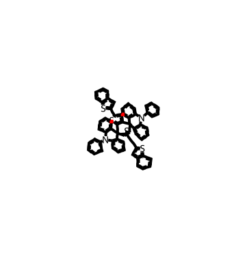 c1ccc(N2c3ccccc3C3(c4ccccc42)c2cc(-c4cc5ccccc5s4)sc2C2(c4ccccc4N(c4ccccc4)c4ccccc42)c2cc(-c4cc5ccccc5s4)sc23)cc1